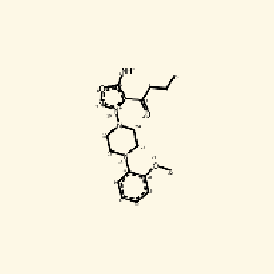 CCCC(=O)c1c([NH-])on[n+]1N1CCN(c2ccccc2OC)CC1